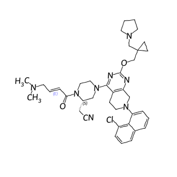 CN(C)C/C=C/C(=O)N1CCN(c2nc(OCC3(CN4CCCC4)CC3)nc3c2CCN(c2cccc4cccc(Cl)c24)C3)C[C@@H]1CC#N